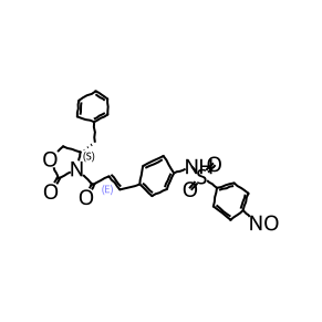 O=Nc1ccc(S(=O)(=O)Nc2ccc(/C=C/C(=O)N3C(=O)OC[C@@H]3Cc3ccccc3)cc2)cc1